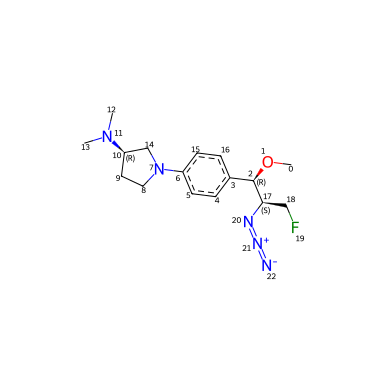 CO[C@H](c1ccc(N2CC[C@@H](N(C)C)C2)cc1)[C@@H](CF)N=[N+]=[N-]